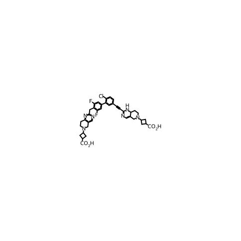 O=C(O)C1CC(N2CCC3NC(C#Cc4ccc(Cl)c(-c5cc(F)c(Cc6ncc7c(n6)CCN(C6CC(C(=O)O)C6)C7)c(F)c5)c4)=NC=C3C2)C1